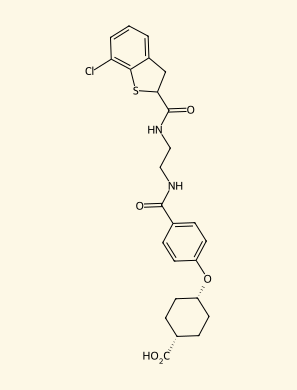 O=C(NCCNC(=O)C1Cc2cccc(Cl)c2S1)c1ccc(O[C@H]2CC[C@@H](C(=O)O)CC2)cc1